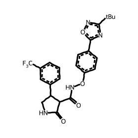 CC(C)(C)c1noc(-c2ccc(ONC(=O)C3C(=O)NCC3c3cccc(C(F)(F)F)c3)cc2)n1